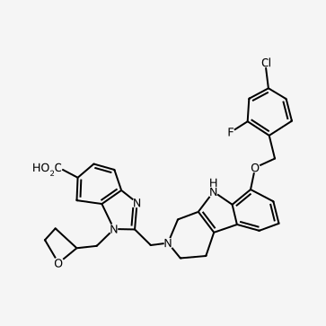 O=C(O)c1ccc2nc(CN3CCc4c([nH]c5c(OCc6ccc(Cl)cc6F)cccc45)C3)n(CC3CCO3)c2c1